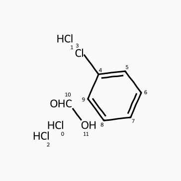 Cl.Cl.Cl.Clc1ccccc1.O=CO